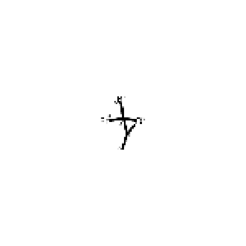 CC1OC1(Br)Br